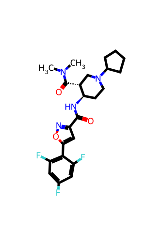 CN(C)C(=O)[C@@H]1CN(C2CCCC2)CC[C@H]1NC(=O)c1cc(-c2c(F)cc(F)cc2F)on1